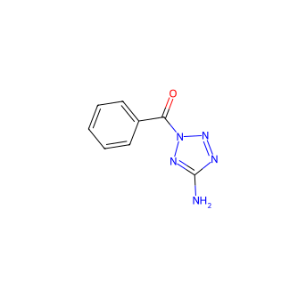 Nc1nnn(C(=O)c2ccccc2)n1